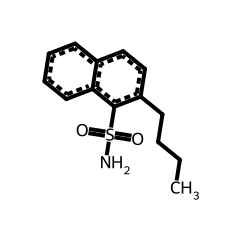 CCCCc1ccc2ccccc2c1S(N)(=O)=O